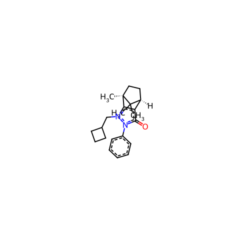 CC1(C)[C@H]2CC[C@]1(C)c1c2c(=O)n(-c2ccccc2)n1CC1CCC1